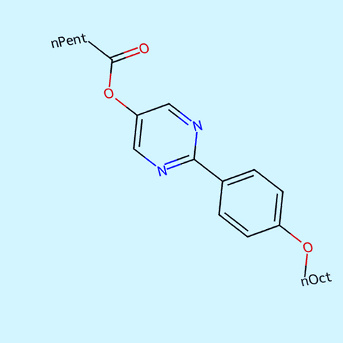 CCCCCCCCOc1ccc(-c2ncc(OC(=O)CCCCC)cn2)cc1